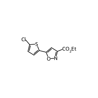 CCOC(=O)c1cc(-c2ccc(Cl)s2)on1